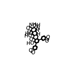 CN(C)[C@H]1C(O)=C(C(N)=O)C(=O)[C@@]2(O)C(O)=C3C(=O)c4c(O)c(-c5ccc6c(c5)OCO6)cc(-c5ccc6c(c5)OCO6)c4C[C@H]3C[C@H]12